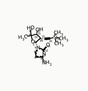 C[C@]1(CO)O[C@@H](n2ccc(N)nc2=O)[C@@H](C#C[Si](C)(C)C)[C@@H]1O